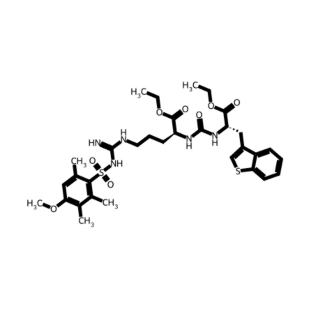 CCOC(=O)[C@H](CCCNC(=N)NS(=O)(=O)c1c(C)cc(OC)c(C)c1C)NC(=O)N[C@@H](Cc1csc2ccccc12)C(=O)OCC